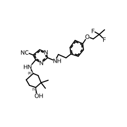 CC(F)(F)COc1ccc(CCNc2ncc(C#N)c(N[C@@H]3CC[C@H](O)C(C)(C)C3)n2)cc1